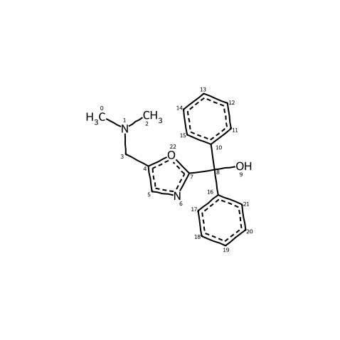 CN(C)Cc1cnc(C(O)(c2ccccc2)c2ccccc2)o1